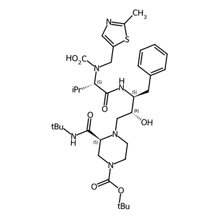 Cc1ncc(CN(C(=O)O)[C@H](C(=O)N[C@@H](Cc2ccccc2)[C@H](O)CN2CCN(C(=O)OC(C)(C)C)C[C@H]2C(=O)NC(C)(C)C)C(C)C)s1